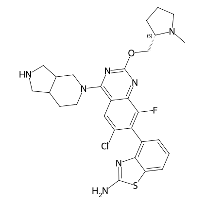 CN1CCC[C@H]1COc1nc(N2CCC3CNCC3C2)c2cc(Cl)c(-c3cccc4sc(N)nc34)c(F)c2n1